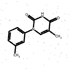 Cc1cccc(-n2cc(C)c(=O)[nH]c2=O)c1